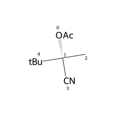 CC(=O)O[C@](C)(C#N)C(C)(C)C